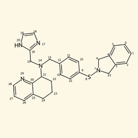 c1ccc2c(c1)CN(Sc1ccc(CN(Cc3ncc[nH]3)C3CCCc4cccnc43)cc1)C2